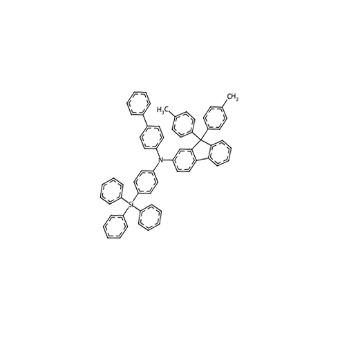 Cc1ccc(C2(c3ccc(C)cc3)c3ccccc3-c3ccc(N(c4ccc(-c5ccccc5)cc4)c4ccc([Si](c5ccccc5)(c5ccccc5)c5ccccc5)cc4)cc32)cc1